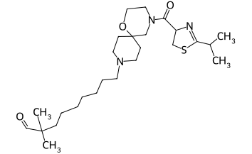 CC(C)C1=NC(C(=O)N2CCOC3(CCN(CCCCCCCC(C)(C)C=O)CC3)C2)CS1